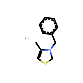 CC1=CSCN1Cc1ccccc1.Cl